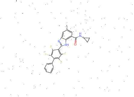 Cc1cc(C(=O)NC2CC2)c2[nH]c(-c3c(F)c(F)c(-c4ccccc4)c(F)c3F)nc2c1